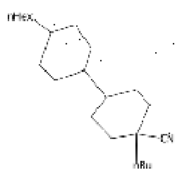 CCCCCCC1CCC(C2CCC(C#N)(CCCC)CC2)CC1